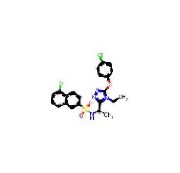 CCn1c(Oc2ccc(Cl)cc2)nnc1[C@@H](C)NS(=O)(=O)c1ccc2c(Cl)cccc2c1